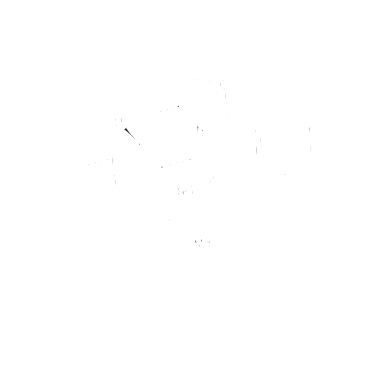 COCNC12CCC(C)(C)[C@@H]1CC1(C)CO[C@H](c3ccccc3)N1C2=O